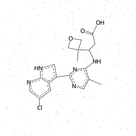 Cc1cnc(-c2c[nH]c3ncc(Cl)cc23)nc1NC(CC(=O)O)C1(C)COC1